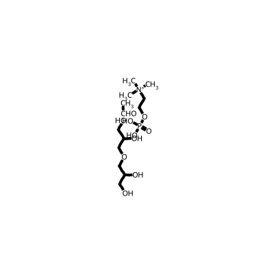 CC=O.C[N+](C)(C)CCOP(=O)(O)O.OCC(O)COCC(O)CO